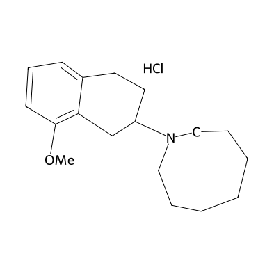 COc1cccc2c1CC(N1CCCCCCC1)CC2.Cl